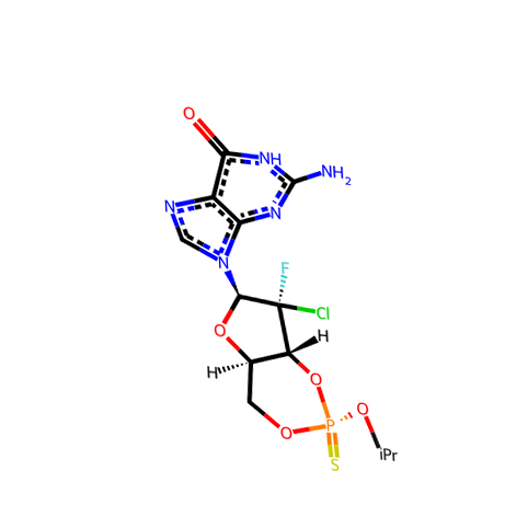 CC(C)O[P@]1(=S)OC[C@H]2O[C@@H](n3cnc4c(=O)[nH]c(N)nc43)[C@@](F)(Cl)[C@@H]2O1